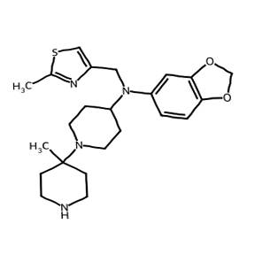 Cc1nc(CN(c2ccc3c(c2)OCO3)C2CCN(C3(C)CCNCC3)CC2)cs1